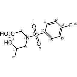 CC(O)CN(CC(=O)O)S(=O)(=O)c1ccc(F)cc1